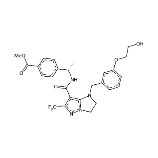 COC(=O)c1ccc([C@H](C)NC(=O)c2c(C(F)(F)F)nn3c2N(Cc2cccc(OCCO)c2)CC3)cc1